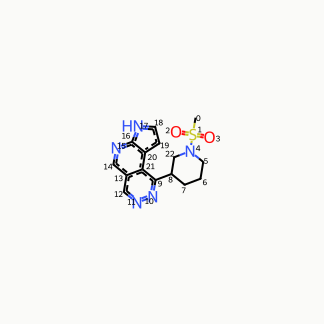 CS(=O)(=O)N1CCCC(c2nncc3cnc4[nH]ccc4c23)C1